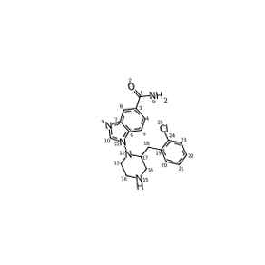 NC(=O)c1ccc2c(c1)ncn2N1CCNCC1Cc1ccccc1Cl